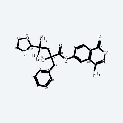 Cc1noc(=O)c2ccc(NC(=O)C(O)(Cc3ccccc3)CC(C)(C)C3OCCO3)cc12